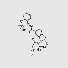 CCC1(CC)CC(=O)N([C@H]2c3cc(C(=O)N[C@@H]4c5ccccc5OC(C)(C)[C@H]4O)ccc3CC2OC)C(=N)N1